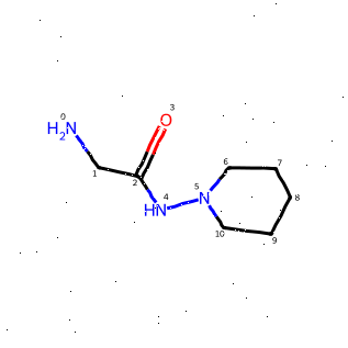 NCC(=O)NN1CCCCC1